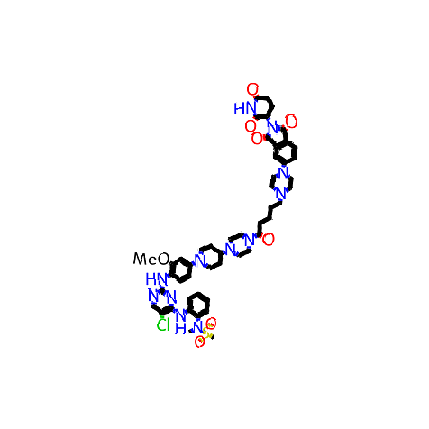 COc1cc(N2CCC(N3CCN(C(=O)CCCCN4CCN(c5ccc6c(c5)C(=O)N(C5CCC(=O)NC5=O)C6=O)CC4)CC3)CC2)ccc1Nc1ncc(Cl)c(Nc2ccccc2N(C)S(C)(=O)=O)n1